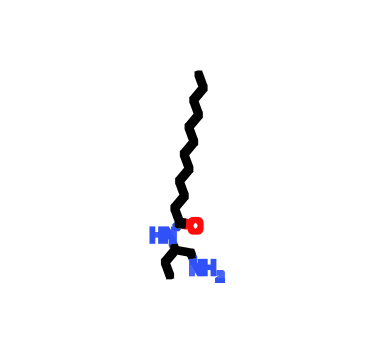 CCCCCCCCCCCC(=O)NC(CC)CN